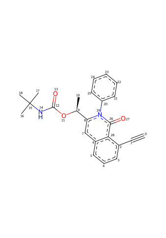 C#Cc1cccc2cc([C@H](C)OC(=O)NC(C)(C)C)n(-c3ccccc3)c(=O)c12